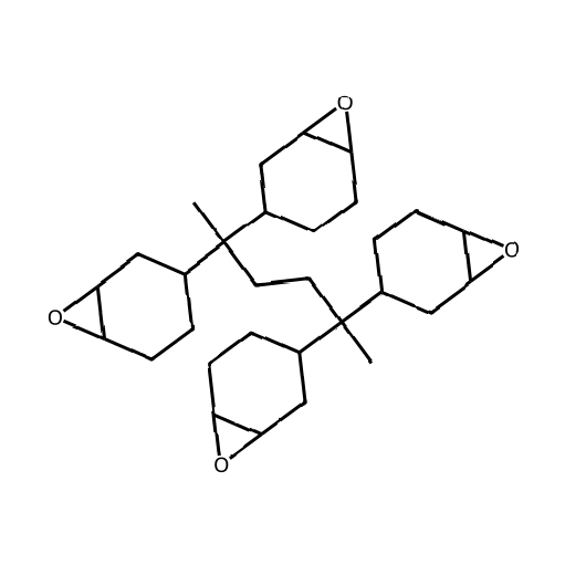 CC(CCC(C)(C1CCC2OC2C1)C1CCC2OC2C1)(C1CCC2OC2C1)C1CCC2OC2C1